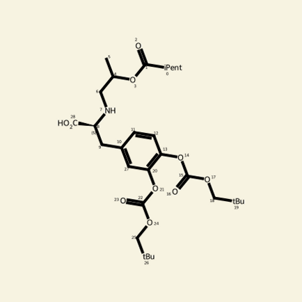 CCCC(C)C(=O)OC(C)CN[C@@H](Cc1ccc(OC(=O)OCC(C)(C)C)c(OC(=O)OCC(C)(C)C)c1)C(=O)O